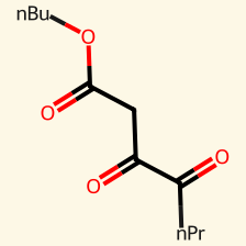 CCCCOC(=O)CC(=O)C(=O)CCC